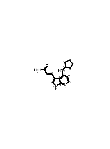 NC(=O)C=Cc1c[nH]c2nccc(NC3CCCC3)c12